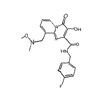 CON(C)Cc1cccn2c(=O)c(O)c(C(=O)NCc3ccc(F)cc3)nc12